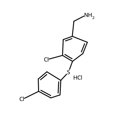 Cl.NCc1ccc(Sc2ccc(Cl)cc2)c(Cl)c1